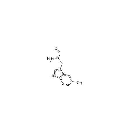 N[C@H](C=O)Cc1c[nH]c2ccc(O)cc12